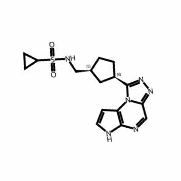 O=S(=O)(NC[C@H]1CC[C@@H](c2nnc3cnc4[nH]ccc4n23)C1)C1CC1